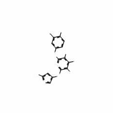 Cc1c(F)c(Oc2csc(C(F)(F)F)c2)nc(Oc2ccc(F)c(Cl)c2)c1F